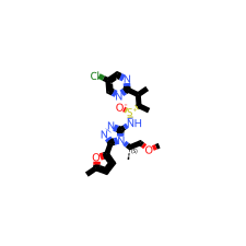 COC[C@H](C)n1c(N[S+]([O-])C(C)C(C)c2ncc(Cl)cn2)nnc1-c1ccc(C)o1